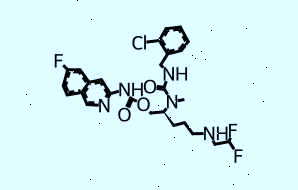 CN(C(=O)NCc1ccccc1Cl)[C@@H](CCCNCC(F)F)COC(=O)Nc1cc2cc(F)ccc2cn1